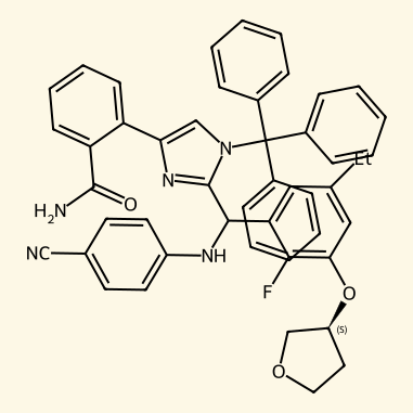 CCc1cc(O[C@H]2CCOC2)c(F)c(C(Nc2ccc(C#N)cc2)c2nc(-c3ccccc3C(N)=O)cn2C(c2ccccc2)(c2ccccc2)c2ccccc2)c1